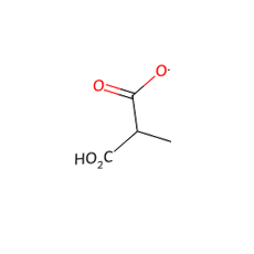 CC(C([O])=O)C(=O)O